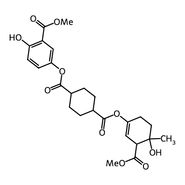 COC(=O)c1cc(OC(=O)C2CCC(C(=O)OC3=CC(C(=O)OC)C(C)(O)CC3)CC2)ccc1O